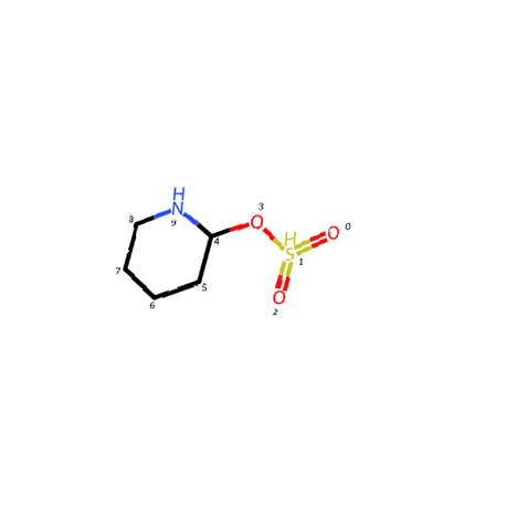 O=[SH](=O)OC1CCCCN1